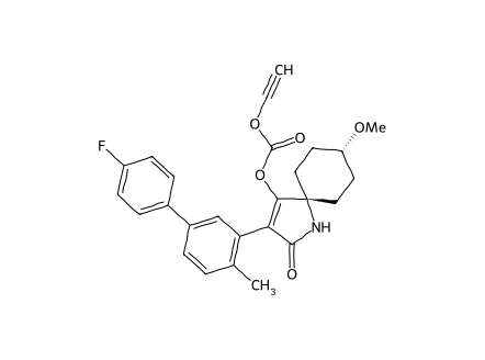 C#COC(=O)OC1=C(c2cc(-c3ccc(F)cc3)ccc2C)C(=O)N[C@]12CC[C@@H](OC)CC2